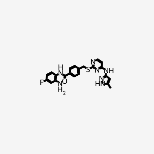 Cc1cc(Nc2ccnc(SCc3ccc(C(=O)Nc4ccc(F)cc4N)cc3)n2)n[nH]1